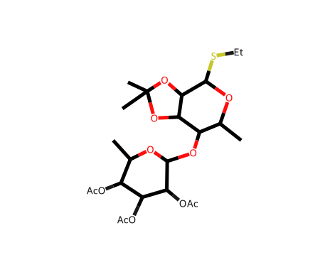 CCSC1OC(C)C(OC2OC(C)C(OC(C)=O)C(OC(C)=O)C2OC(C)=O)C2OC(C)(C)OC12